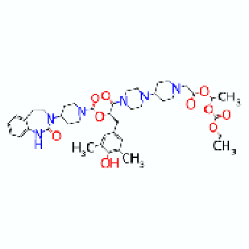 CCOC(=O)OC(C)OC(=O)CN1CCC(N2CCN(C(=O)[C@@H](Cc3cc(C)c(O)c(C)c3)OC(=O)N3CCC(N4CCc5ccccc5NC4=O)CC3)CC2)CC1